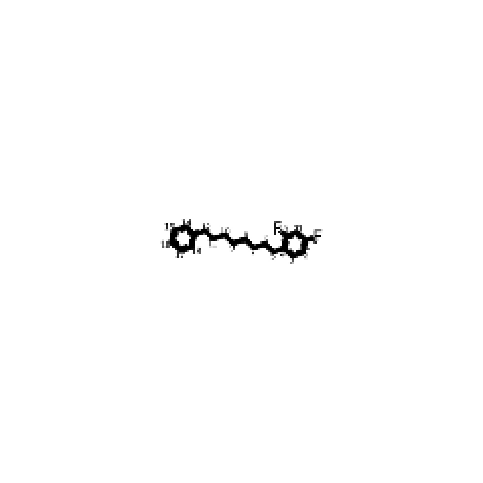 Fc1ccc(CCCCCCCCc2ccccc2)c(F)c1